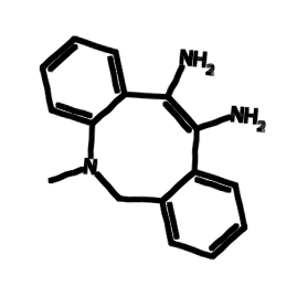 CN1Cc2ccccc2/C(N)=C(/N)c2ccccc21